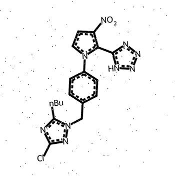 CCCCc1nc(Cl)nn1Cc1ccc(-n2ccc([N+](=O)[O-])c2-c2nnn[nH]2)cc1